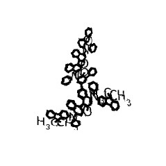 CC1(C)c2ccccc2-c2ccc(N(c3ccccc3)c3cc4oc5cc(N(c6ccccc6)c6ccc7c(c6)C(C)(C)c6ccccc6-7)c6cc(-c7cc(N(c8ccccc8)c8cc9oc%10cc(N(c%11ccccc%11)c%11cccc%12c%11oc%11ccccc%11%12)c%11ccccc%11c%10c9c9ccccc89)c8oc9ccccc9c8c7)ccc6c5c4c4ccccc34)cc21